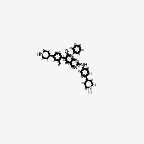 Cc1cc(C2CCNCC2)ccc1-c1cc2cnc(Nc3ccc(C4CCNCC4)cc3)nc2n(-c2ccccc2)c1=O